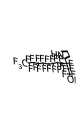 OC(F)(F)C(F)(F)C(F)(c1ccc[nH]1)C(F)(F)C(F)(F)C(F)(F)C(F)(F)C(F)(F)C(F)(F)C(F)(F)C(F)(F)C(F)(F)F